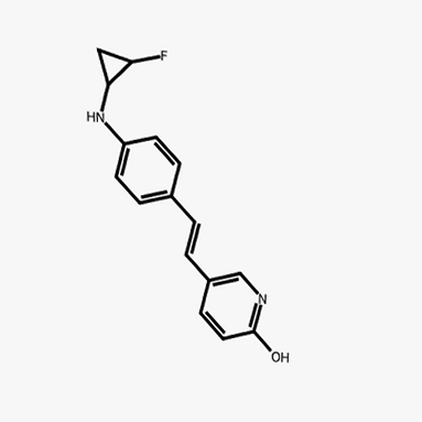 Oc1ccc(/C=C/c2ccc(NC3CC3F)cc2)cn1